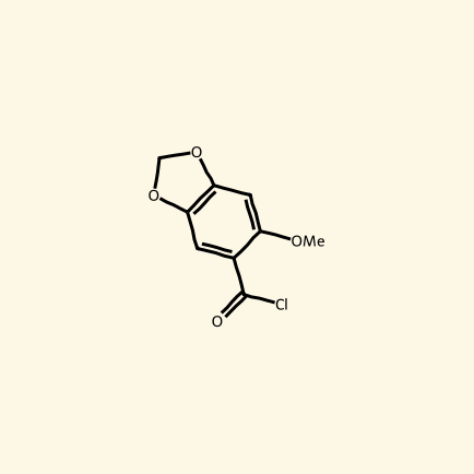 COc1cc2c(cc1C(=O)Cl)OCO2